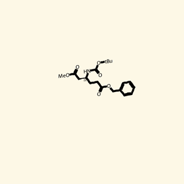 COC(=O)C[C@H](CCC(=O)OCc1ccccc1)NC(=O)OC(C)(C)C